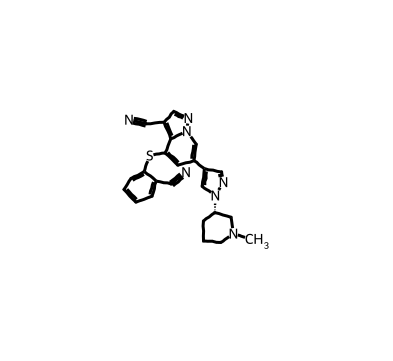 CN1CCC[C@H](n2cc(-c3cc(Sc4ccccc4C#N)c4c(C#N)cnn4c3)cn2)C1